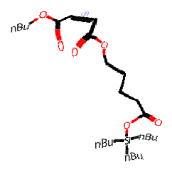 CCCCOC(=O)/C=C\C(=O)OCCCCC(=O)O[Si](CCCC)(CCCC)CCCC